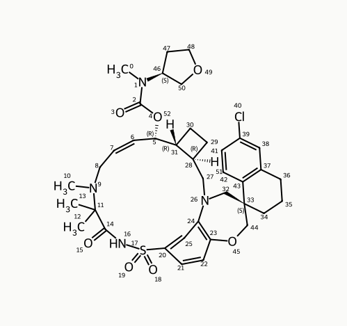 CN(C(=O)O[C@H]1C=CCN(C)C(C)(C)C(=O)NS(=O)(=O)c2ccc3c(c2)N(C[C@@H]2CC[C@H]21)C[C@@]1(CCCc2cc(Cl)ccc21)CO3)[C@H]1CCOC1